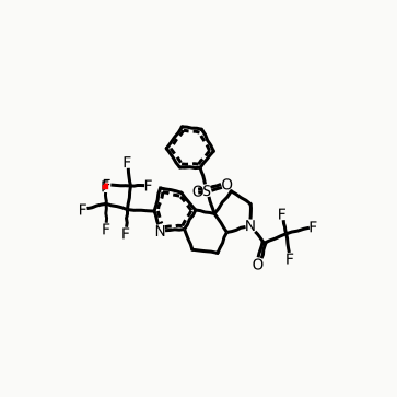 O=C(N1CCC2(S(=O)(=O)c3ccccc3)c3ccc(C(F)(C(F)(F)F)C(F)(F)F)nc3CCC12)C(F)(F)F